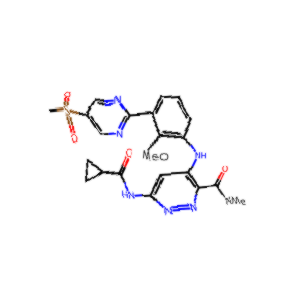 CNC(=O)c1nnc(NC(=O)C2CC2)cc1Nc1cccc(-c2ncc(S(C)(=O)=O)cn2)c1OC